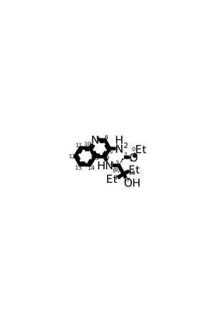 CCOC[C@@H](Nc1c(N)cnc2ccccc12)C(O)(CC)CC